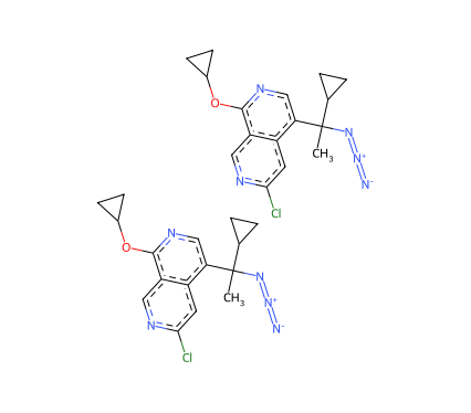 CC(N=[N+]=[N-])(c1cnc(OC2CC2)c2cnc(Cl)cc12)C1CC1.CC(N=[N+]=[N-])(c1cnc(OC2CC2)c2cnc(Cl)cc12)C1CC1